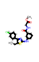 CCc1sc(Nc2cccc(C(=O)NCC(=O)OC)c2)nc1-c1ccc(Cl)cc1